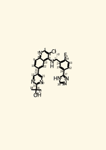 C[C@@H](Nc1c(Cl)cnc2ccc(-c3cnc(C(C)(C)O)nc3)cc12)c1cc(-c2nnc[nH]2)ccc1F